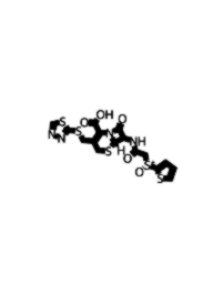 O=C(C[S+]([O-])c1cccs1)NC1C(=O)N2C(C(=O)O)=C(CSc3nncs3)CS[C@@H]12